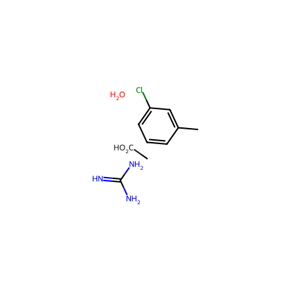 CC(=O)O.Cc1cccc(Cl)c1.N=C(N)N.O